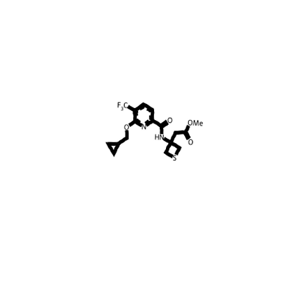 COC(=O)CC1(NC(=O)c2ccc(C(F)(F)F)c(OCC3CC3)n2)CSC1